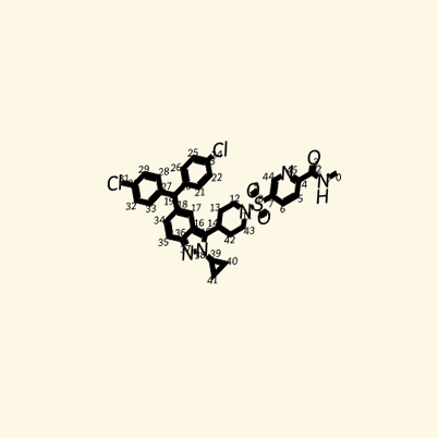 CNC(=O)c1ccc(S(=O)(=O)N2CCC(c3c4cc(C(c5ccc(Cl)cc5)c5ccc(Cl)cc5)ccc4nn3C3CC3)CC2)cn1